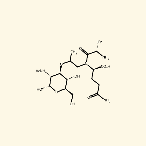 CC(=O)N[C@@H]1[C@@H](OC(C)CN(C(=O)[C@@H](N)C(C)C)[C@H](CCC(N)=O)C(=O)O)[C@H](O)[C@@H](CO)O[C@@H]1O